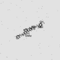 COc1cc2c(Nc3cnc(OC(=O)NCCc4c[nH]c5ccc(C)cc45)nc3)ncnc2cc1OCCCN1CCOCC1